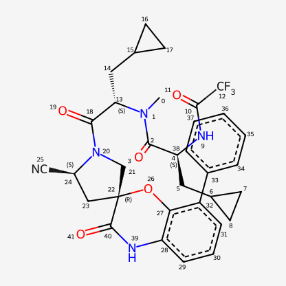 CN(C(=O)[C@H](CC1CC1)NC(=O)C(F)(F)F)[C@@H](CC1CC1)C(=O)N1C[C@@]2(C[C@H]1C#N)Oc1c(cccc1-c1ccccc1)NC2=O